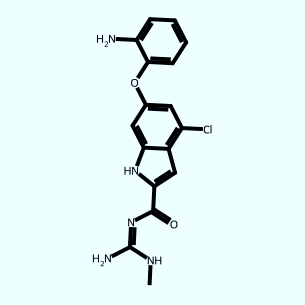 CNC(N)=NC(=O)c1cc2c(Cl)cc(Oc3ccccc3N)cc2[nH]1